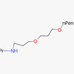 CCCCCOCCCOCCCNC(C)C